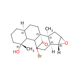 C[C@]12CC3O[C@@H]3[C@H]1CCC1C3[C@@H](CCC[C@@]3(C)O)CC[C@]12C(=O)CBr